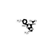 CCC(CC)Nc1nc([C@]2(O)CCC[C@@H](C)C2)nc2c1ncn2C